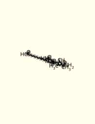 Cc1cc(N(C)C(N)=O)cc(C)c1C=CS(=O)(=O)N1CCC2(CC1)N=C(CCCCCCCCCCCC(=O)O)NC2=O